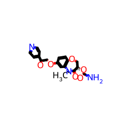 CN1C(=O)[C@@H](OC(N)=O)COc2ccc(OCC(=O)c3ccncc3)cc21